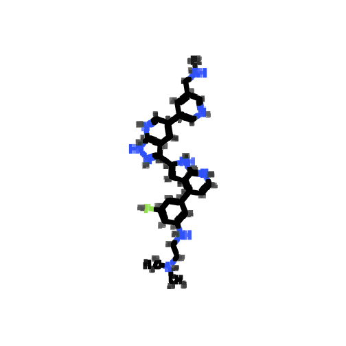 CCNCc1cncc(-c2cnc3[nH]nc(-c4cc5c(-c6cc(F)cc(NCCN(C)C)c6)ccnc5[nH]4)c3c2)c1